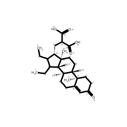 CCC1C(CC)[C@H]2[C@@H]3CCC4=CC(=O)CC[C@]4(C)[C@H]3CC[C@]2(C)[C@H]1CC(C(=O)O)C(=O)O